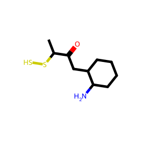 CC(SS)C(=O)CC1CCCCC1N